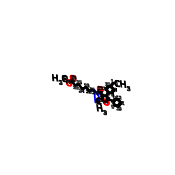 CCc1ccc(-c2c(-c3ccccc3)oc(C)c2C(=O)NCCCCCCC(=O)OC)cc1